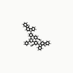 N#Cc1ccc(-c2cc(-n3c4ccccc4c4c5oc6ccccc6c5ccc43)ccc2-c2nc(-c3ccccc3)nc(-c3ccc(-n4c5ccccc5c5c6oc7ccccc7c6ccc54)cc3C#N)n2)cc1